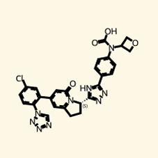 O=C(O)N(c1ccc(-c2nnc([C@@H]3CCc4cc(-c5cc(Cl)ccc5-n5cnnn5)cc(=O)n43)[nH]2)cc1)C1COC1